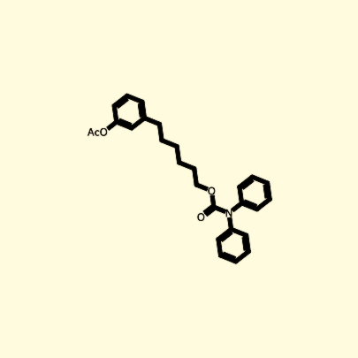 CC(=O)Oc1cccc(CCCCCCOC(=O)N(c2ccccc2)c2ccccc2)c1